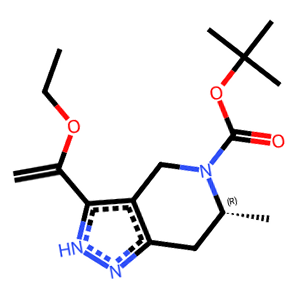 C=C(OCC)c1[nH]nc2c1CN(C(=O)OC(C)(C)C)[C@H](C)C2